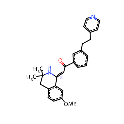 COc1ccc2c(c1)/C(=C/C(=O)c1cccc(CCc3ccncc3)c1)NC(C)(C)C2